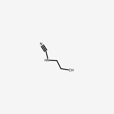 [CH]CCNC#N